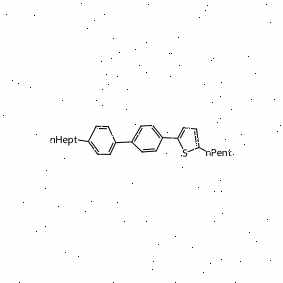 CCCCCCCc1ccc(-c2ccc(-c3ccc(CCCCC)s3)cc2)cc1